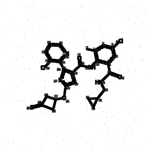 Cc1cc(Cl)cc(C(=O)NCC2CC2)c1NC(=O)c1cc(OC2CC(=S)C2)nn1-c1ncccc1Cl